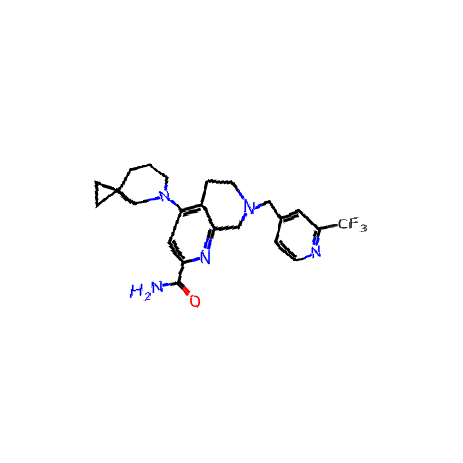 NC(=O)c1cc(N2CCCC3(CC3)C2)c2c(n1)CN(Cc1ccnc(C(F)(F)F)c1)CC2